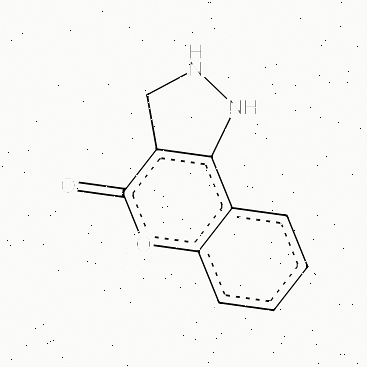 O=c1oc2ccccc2c2c1CNN2